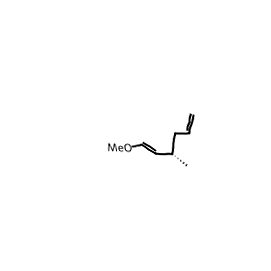 C=CC[C@H](C)/C=C/OC